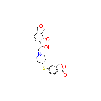 O=C1OCc2cc(SC3CCN(CC(O)C4C=CC5=COCC5C4=O)CC3)ccc21